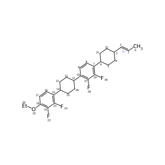 C/C=C/C1CCC(c2ccc(C3CCC(c4ccc(OCC)c(F)c4F)CC3)c(F)c2F)CC1